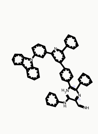 C=C(Nc1ccccc1)/C(C=N)=N\C(=C(/N)c1ccc(-c2cc(-c3ccccc3)nc(-c3cccc(-n4c5ccccc5c5ccccc54)c3)c2)cc1)c1ccccc1